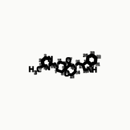 Cc1ccnc(N2CCC3(CC2)OCCN(CC2CNc4ccccc42)C3=O)n1